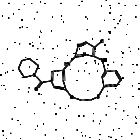 O=C(c1cc2cc(c1)OCCSc1cccc(c1)Nc1nc(ncc1Cl)N2)N1CCCCC1